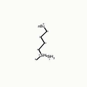 CCCCCCCC[SiH](C)[SiH3]